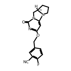 N#Cc1cc(COc2cc3n(c(=O)n2)C[C@@H]2CCCN32)ccc1F